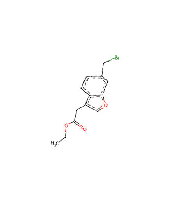 CCOC(=O)Cc1coc2cc(CBr)ccc12